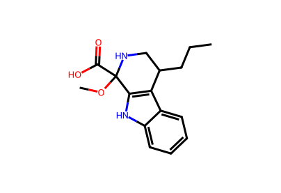 CCCC1CNC(OC)(C(=O)O)c2[nH]c3ccccc3c21